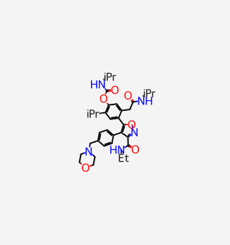 CCNC(=O)c1noc(-c2cc(C(C)C)c(OC(=O)NC(C)C)cc2CC(=O)NC(C)C)c1-c1ccc(CN2CCOCC2)cc1